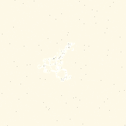 O.O.O.O.O.O=P([O-])(O)C(O)(Cc1cccnc1)P(=O)(O)O.[Na+]